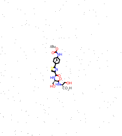 CC(C)(C)OC(=O)NC12CCC(c3nc(C(=O)N[C@H](CO)C(=O)N[C@H](CO)C(=O)O)cs3)(CC1)CC2